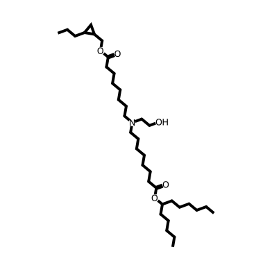 CCCCCCC(CCCCC)OC(=O)CCCCCCCN(CCO)CCCCCCCC(=O)OCC1CC1CCC